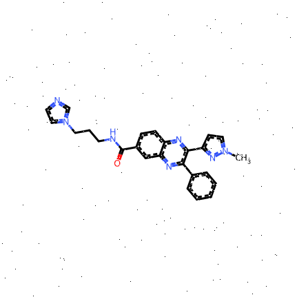 Cn1ccc(-c2nc3ccc(C(=O)NCCCn4ccnc4)cc3nc2-c2ccccc2)n1